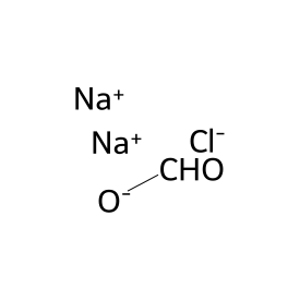 O=C[O-].[Cl-].[Na+].[Na+]